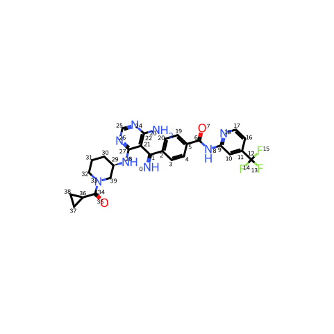 N=C(c1ccc(C(=O)Nc2cc(C(F)(F)F)ccn2)cc1)c1c(N)ncnc1N[C@@H]1CCCN(C(=O)C2CC2)C1